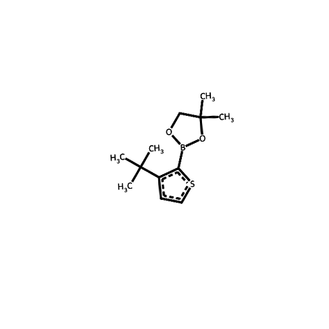 CC1(C)COB(c2sccc2C(C)(C)C)O1